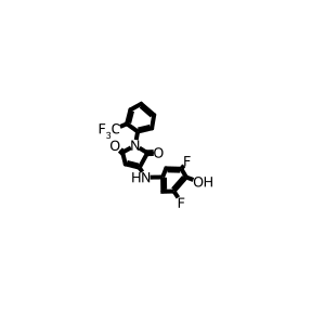 O=C1C=C(Nc2cc(F)c(O)c(F)c2)C(=O)N1c1ccccc1C(F)(F)F